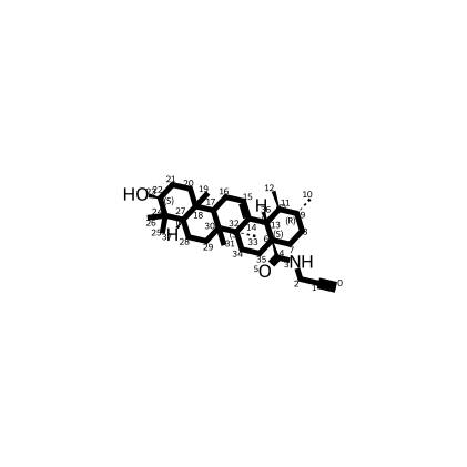 C#CCNC(=O)[C@]12CC[C@@H](C)[C@H](C)[C@H]1C1=CCC3C4(C)CC[C@H](O)C(C)(C)[C@@H]4CCC3(C)[C@]1(C)CC2